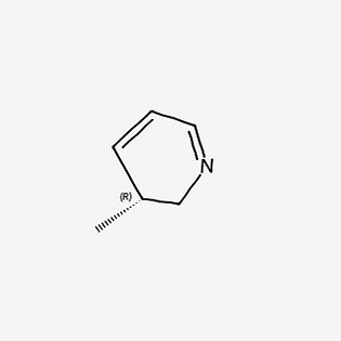 C[C@@H]1C=CC=NC1